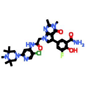 Cc1nc2c(c(-c3cc(F)c(O)c(C(N)=O)c3)cn2CC(=O)Nc2cc(N3CC(C)(C)N(C)C(C)(C)C3)ncc2Cl)c(=O)n1C